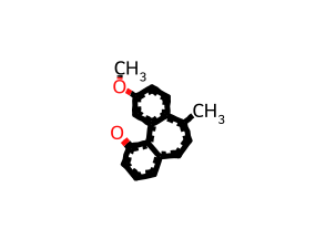 COc1ccc2c(C)ccc3cccc(=O)c-3c2c1